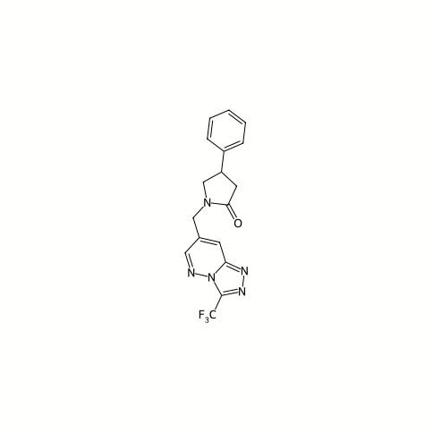 O=C1CC(c2ccccc2)CN1Cc1cnn2c(C(F)(F)F)nnc2c1